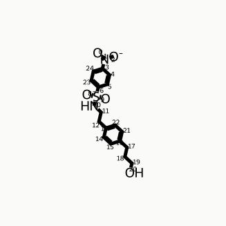 O=[N+]([O-])c1ccc(S(=O)(=O)NCCc2ccc(CCCO)cc2)cc1